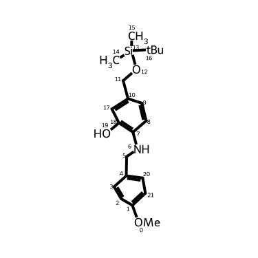 COc1ccc(CNc2ccc(CO[Si](C)(C)C(C)(C)C)cc2O)cc1